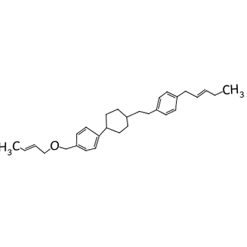 CC=CCOCc1ccc(C2CCC(CCc3ccc(C/C=C/CC)cc3)CC2)cc1